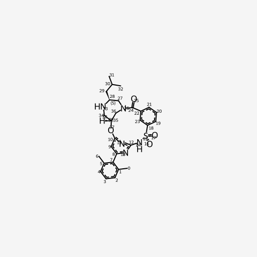 Cc1cccc(C)c1-c1cc2nc(n1)NS(=O)(=O)c1cccc(c1)C(=O)N1C[C@H](CC(C)C)NC[C@H](C1)O2